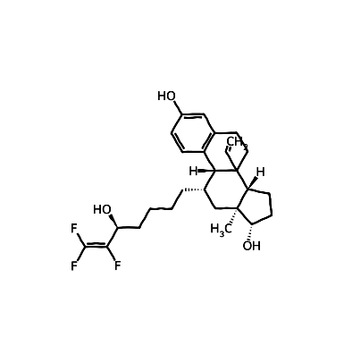 C=CC12CCc3cc(O)ccc3[C@H]1[C@@H](CCCC[C@H](O)C(F)=C(F)F)C[C@]1(C)[C@@H](O)CC[C@@H]21